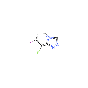 Fc1c(I)ccn2cnnc12